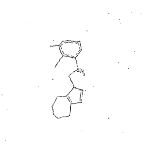 Cc1cccc([SiH2]C[C]2C=CC3=C2CCCC3)c1C